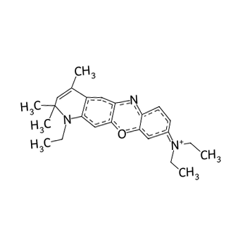 CCN1c2cc3oc4cc(=[N+](CC)CC)ccc-4nc3cc2C(C)=CC1(C)C